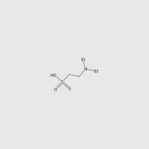 CCN(CC)CCS(=O)(O)=S